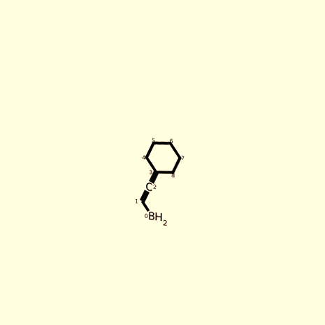 BC=C=C1CCCCC1